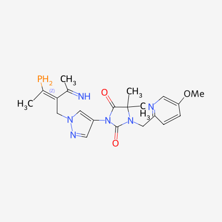 COc1ccc(CN2C(=O)N(c3cnn(C/C(C(C)=N)=C(\C)P)c3)C(=O)C2(C)C)nc1